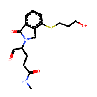 CNC(=O)CCC(C=O)N1Cc2c(SCCCO)cccc2C1=O